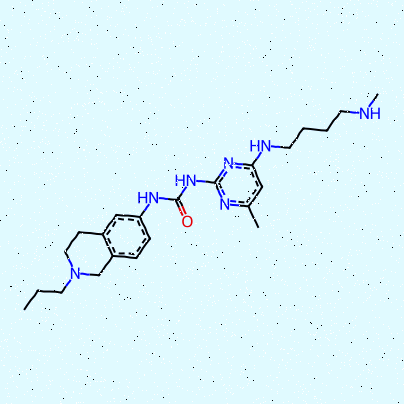 CCCN1CCc2cc(NC(=O)Nc3nc(C)cc(NCCCCNC)n3)ccc2C1